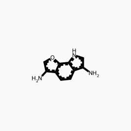 Nc1c[nH]c2c1ccc1c(N)coc12